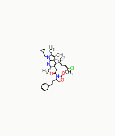 C/C(Cl)=C\C=C(/C)c1c(CC(=O)N2C(=O)OC[C@H]2CCC2C=CC=CC2)c(C)nc2c1c(C)c(C)n2CC1CC1